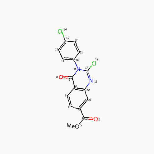 COC(=O)c1ccc2c(=O)n(-c3ccc(Cl)cc3)c(Cl)nc2c1